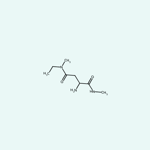 CCN(C)C(=O)CC(N)C(=O)NC